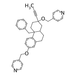 CC#CC1(OCc2ccncc2)CCC2(Cc3ccccc3)c3ccc(OCc4ccncc4)cc3CCC2C1